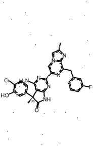 Cc1cn2cc(-c3nc(N)c4c(n3)NC(=O)[C@]4(C)c3ccc(Cl)c(O)c3)nc(Cc3cccc(F)c3)c2n1